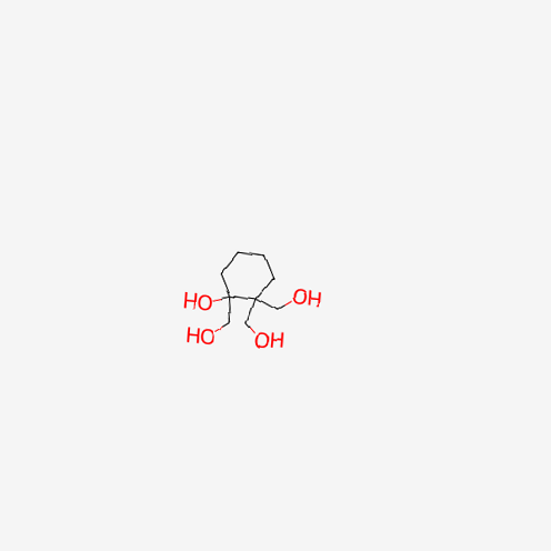 OCC1(O)CCCCC1(CO)CO